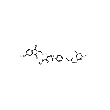 COC(=O)[C@H](CCCN1C(=O)c2ccc(N)cc2C1=O)NC(=O)c1ccc(CCc2cnc3nc(N)nc(N)c3n2)cc1